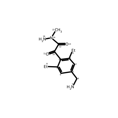 CCc1cc(CN)cc(CC)c1C(=O)C(=O)N(C)N